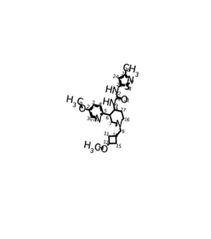 COc1ccc(C2CN(CC3CC(OC)C3)CCC2NC(=O)Nc2cc(C)ns2)nc1